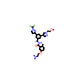 COCCn1cc(-c2cc(-c3ccn(C(F)F)n3)cc([C@@H](C)NC(=O)c3cc(OCCN(C)C)ccc3C)c2)cn1